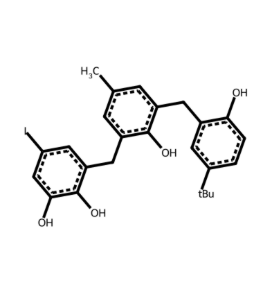 Cc1cc(Cc2cc(C(C)(C)C)ccc2O)c(O)c(Cc2cc(I)cc(O)c2O)c1